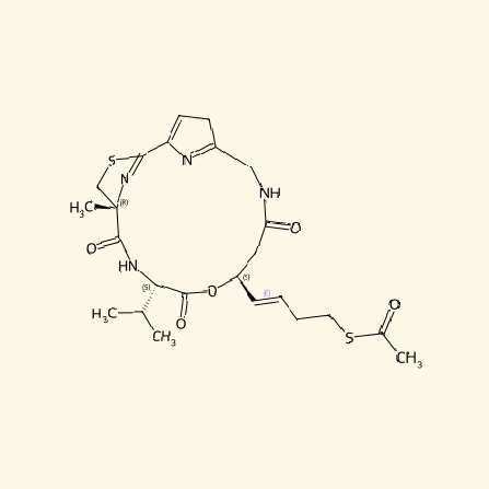 CC(=O)SCC/C=C/[C@@H]1CC(=O)NCC2=NC(=CC2)C2=N[C@@](C)(CS2)C(=O)N[C@@H](C(C)C)C(=O)O1